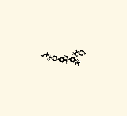 CCCC(C)(C)OC(=O)N1CCN(c2ccc3c(=O)n(-c4ccc(OC(F)(F)F)c(NC(=O)C(C)N5CCN(C)CC5)c4)cnc3c2)CC1